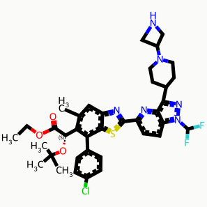 CCOC(=O)[C@@H](OC(C)(C)C)c1c(C)cc2nc(-c3ccc4c(n3)c(C3CCN(C5CNC5)CC3)nn4C(F)F)sc2c1-c1ccc(Cl)cc1